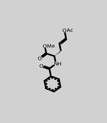 COC(=O)[C@H](CC=COC(C)=O)NC(=O)c1ccccc1